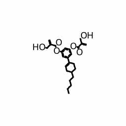 C=C(CO)C(=O)Oc1cc(OC(=O)C(=C)CO)cc(C2=CCC(CCCCC)CC2)c1